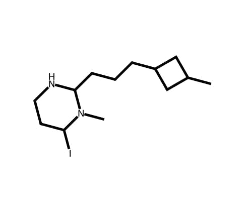 CC1CC(CCCC2NCCC(I)N2C)C1